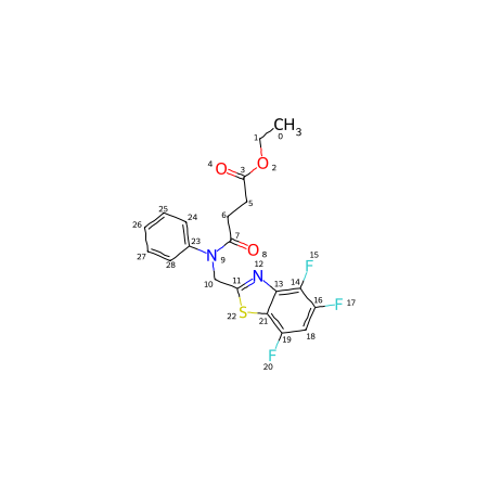 CCOC(=O)CCC(=O)N(Cc1nc2c(F)c(F)cc(F)c2s1)c1ccccc1